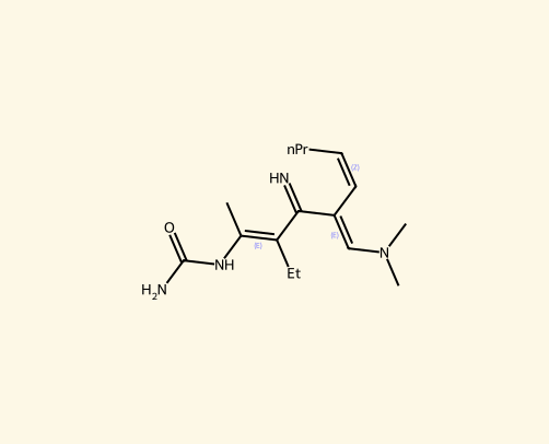 CCC/C=C\C(=C/N(C)C)C(=N)/C(CC)=C(\C)NC(N)=O